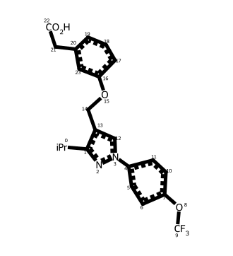 CC(C)c1nn(-c2ccc(OC(F)(F)F)cc2)cc1COc1cccc(CC(=O)O)c1